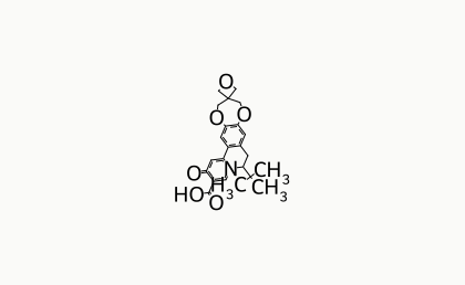 CC(C)(C)C1Cc2cc3c(cc2-c2cc(=O)c(C(=O)O)cn21)OCC1(COC1)CO3